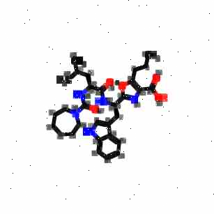 CCCc1oc([C@@H](Cc2c[nH]c3ccccc23)NC(=O)[C@H](CC(C)C)NC(=O)N2CCCCCC2)nc1C(=O)O